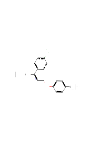 C/C(=C/COc1ccc(C)cc1)c1ccc(Br)cc1